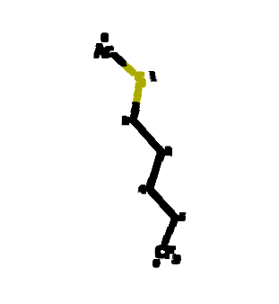 CC(=O)SCCCCC(F)(F)F